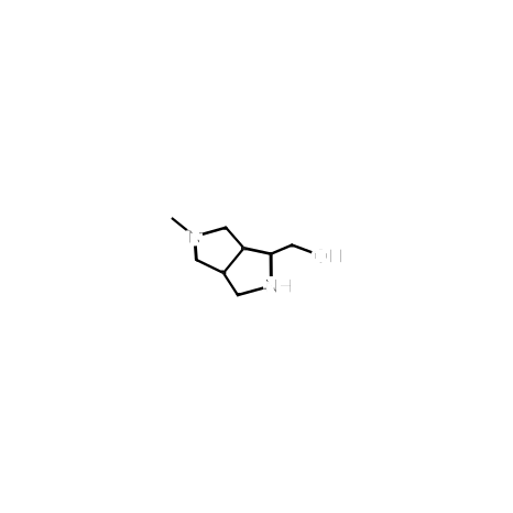 CN1CC2CNC(CO)C2C1